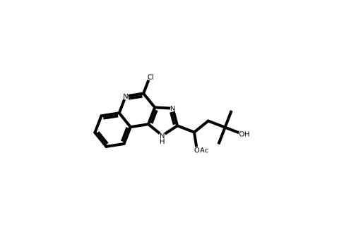 CC(=O)OC(CC(C)(C)O)c1nc2c(Cl)nc3ccccc3c2[nH]1